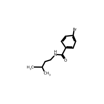 CC(C)CCNC(=O)c1ccc(Br)cc1